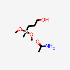 CC(N)=O.CO[Si](C)(CCCO)OC